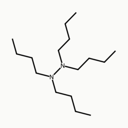 CCCCN(CCCC)N(CCCC)CCCC